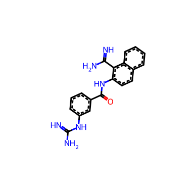 N=C(N)Nc1cccc(C(=O)Nc2ccc3ccccc3c2C(=N)N)c1